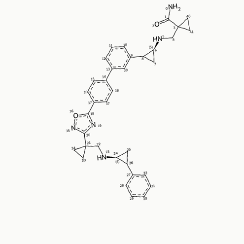 NC(=O)C1(CN[C@H]2CC2c2cccc(-c3ccc(-c4nc(C5(CN[C@H]6CC6c6ccccc6)CC5)no4)cc3)c2)CC1